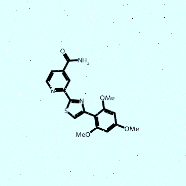 COc1cc(OC)c(-c2csc(-c3cc(C(N)=O)ccn3)n2)c(OC)c1